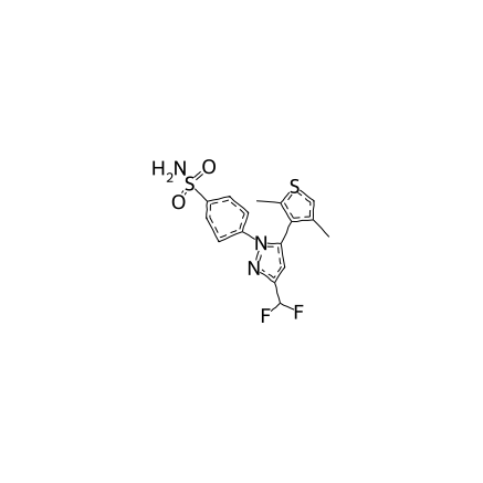 Cc1csc(C)c1-c1cc(C(F)F)nn1-c1ccc(S(N)(=O)=O)cc1